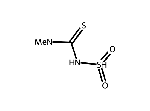 CNC(=S)N[SH](=O)=O